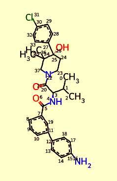 CC(C)[C@@H](NC(=O)c1cccc(-c2ccc(N)cc2)c1)C(=O)N1CC[C@](O)(c2ccc(Cl)cc2)C(C)(C)C1